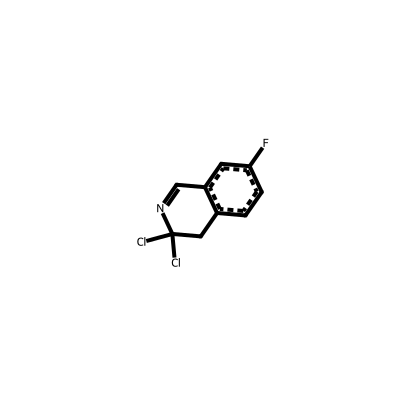 Fc1ccc2c(c1)C=NC(Cl)(Cl)C2